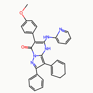 COc1ccc(-c2c(Nc3ccccn3)[nH]c3c(C4=CCCC=C4)c(-c4ccccc4)nn3c2=O)cc1